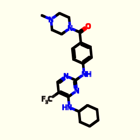 CN1CCN(C(=O)c2ccc(Nc3ncc(C(F)(F)F)c(NC4CCCCC4)n3)cc2)CC1